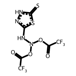 O=C(ON(Nc1n[nH]c(=S)s1)OC(=O)C(F)(F)F)C(F)(F)F